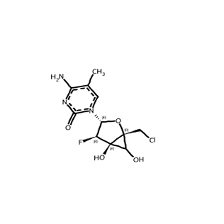 Cc1cn([C@@H]2O[C@]3(CCl)C(O)[C@]3(O)[C@H]2F)c(=O)nc1N